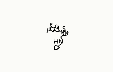 Fc1cc(F)c2c(c1)C[C@@H](N1C(=S)[N]C=C1CCNCc1ccccc1)CO2